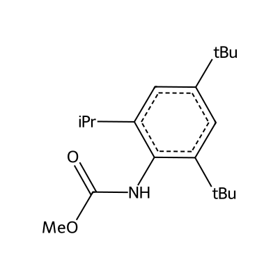 COC(=O)Nc1c(C(C)C)cc(C(C)(C)C)cc1C(C)(C)C